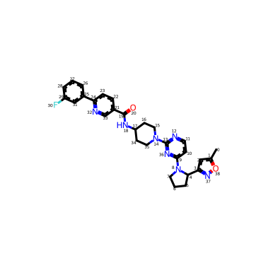 Cc1cc(C2CCCN2c2ccnc(N3CCC(NC(=O)c4ccc(-c5cccc(F)c5)nc4)CC3)n2)no1